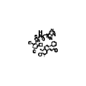 CC1C=c2c(ccc3c2=CC(=O)c2ccccc2-3)C(C)C1=O.O=C(Cn1cnc2ncncc21)Nc1nc(-c2c(Cl)cc(Cl)cc2Cl)cs1